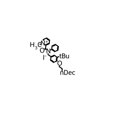 CCCCCCCCCCCCOc1ccc(CN(C(=O)c2cccc[n+]2C)c2ccccc2)cc1C(C)(C)C.[I-]